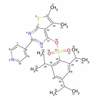 Cc1sc2nc(-c3ccncc3)nc(OS(=O)(=O)c3c(C(C)C)cc(C(C)C)cc3C(C)C)c2c1C